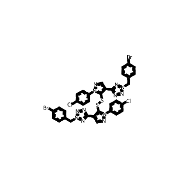 Clc1ccc(-n2ncc(-c3nnn(Cc4ccc(Br)cc4)n3)c2SSc2c(-c3nnn(Cc4ccc(Br)cc4)n3)cnn2-c2ccc(Cl)cc2)cc1